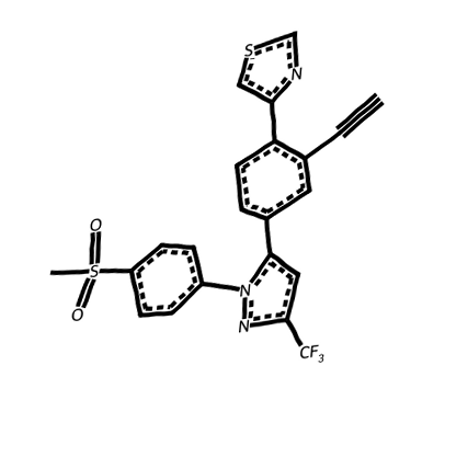 C#Cc1cc(-c2cc(C(F)(F)F)nn2-c2ccc(S(C)(=O)=O)cc2)ccc1-c1cscn1